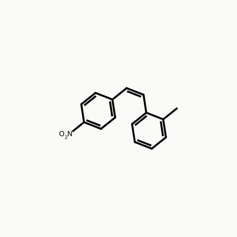 Cc1ccccc1/C=C\c1ccc([N+](=O)[O-])cc1